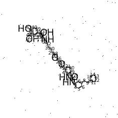 O=C(Nc1cccc(CCc2ccccc2)c1)Nc1cccc(COCCOCCCCCCNC[C@@H](O)c2ccc(O)c(CO)c2)c1